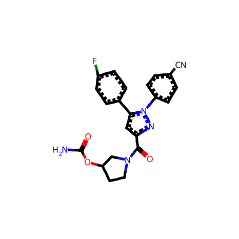 N#Cc1ccc(-n2nc(C(=O)N3CCC(OC(N)=O)C3)cc2-c2ccc(F)cc2)cc1